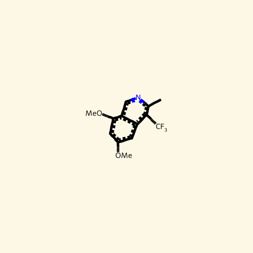 COc1cc(OC)c2cnc(C)c(C(F)(F)F)c2c1